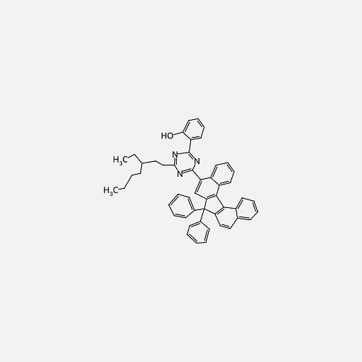 CCCCC(CC)CCc1nc(-c2ccccc2O)nc(-c2cc3c(c4ccccc24)-c2c(ccc4ccccc24)C3(c2ccccc2)c2ccccc2)n1